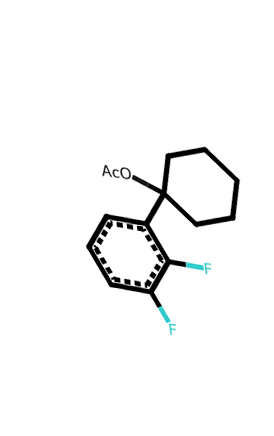 CC(=O)OC1(c2cccc(F)c2F)CCCCC1